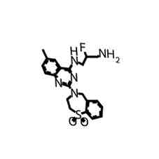 Cc1ccc2nc(N3CCS(=O)(=O)c4ccccc4C3)nc(NCC(F)CN)c2c1